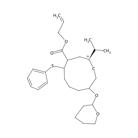 C=CCOC(=O)C1C[C@@H](C(C)C)CCC(OC2CCCCO2)CCCC1Sc1ccccc1